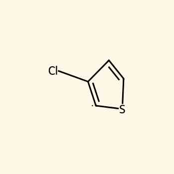 Clc1[c]scc1